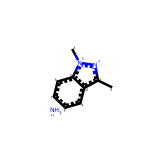 Cc1nn(C)c2ccccc12.N